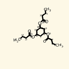 CCCC(=O)OC1CC(OC(=O)CCC)CC(OC(=O)CCC)C1